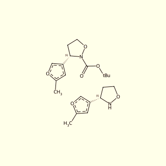 Cc1cc([C@@H]2CCON2)co1.Cc1cc([C@@H]2CCON2C(=O)OC(C)(C)C)co1